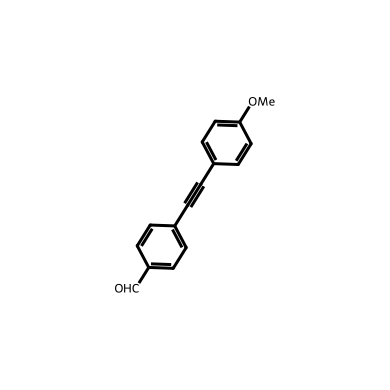 COc1ccc(C#Cc2ccc(C=O)cc2)cc1